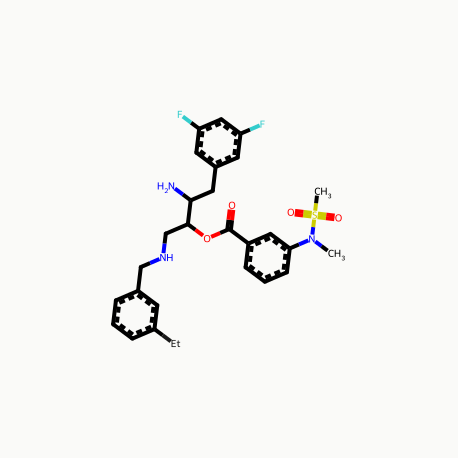 CCc1cccc(CNCC(OC(=O)c2cccc(N(C)S(C)(=O)=O)c2)C(N)Cc2cc(F)cc(F)c2)c1